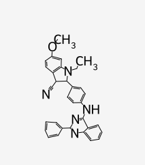 CCN1c2cc(OC)ccc2C(C#N)C1c1ccc(Nc2nc(-c3ccccc3)nc3ccccc23)cc1